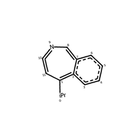 CC(C)C1=c2ccccc2=CN=C=C1